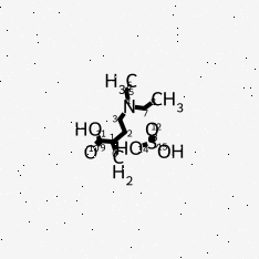 C=C(CCN(CC)CC)C(=O)O.O=S(O)O